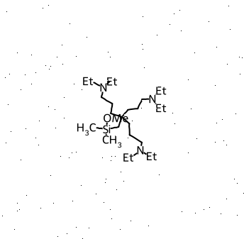 CCN(CC)CCCC(CCCN(CC)CC)(CCCN(CC)CC)C[Si](C)(C)OC